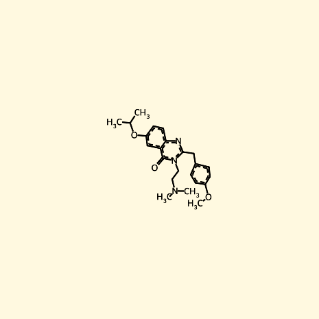 COc1ccc(Cc2nc3ccc(OC(C)C)cc3c(=O)n2CCN(C)C)cc1